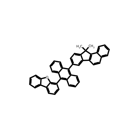 CC1(C)c2ccc(-c3c4ccccc4c(-c4cccc5c4oc4ccccc45)c4ccccc34)cc2-c2ccc3ccccc3c21